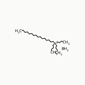 B.CCCCCCCCCCCCCCCC[N+](CCCC)(CCCC)CCCC